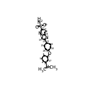 CN(C)c1cccc(Oc2ccc(-c3cn4nc(S(N)(=O)=O)sc4n3)cc2)c1